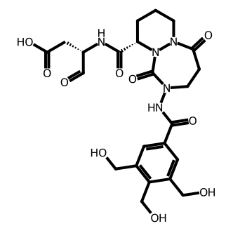 O=C[C@H](CC(=O)O)NC(=O)[C@@H]1CCCN2C(=O)CCN(NC(=O)c3cc(CO)c(CO)c(CO)c3)C(=O)N12